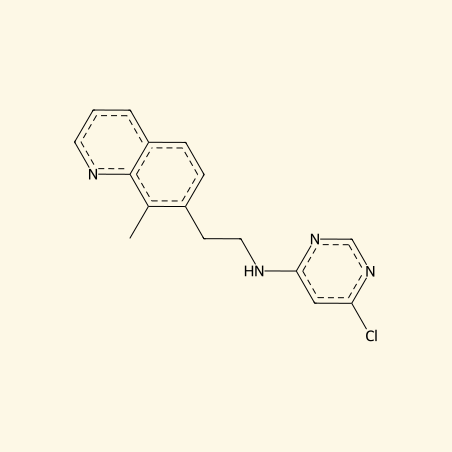 Cc1c(CCNc2cc(Cl)ncn2)ccc2cccnc12